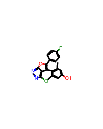 Cc1cc(O)cc(C)c1-c1c(-c2ccc(F)cc2)oc2ncnc(Cl)c12